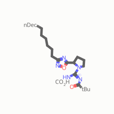 CCCCCCCCCCCCCCCCc1noc(C2CCCN2/C(=N/C(=O)C(C)(C)C)NC(=O)O)n1